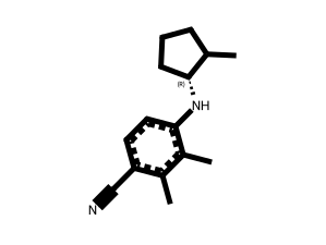 Cc1c(C#N)ccc(N[C@@H]2CCCC2C)c1C